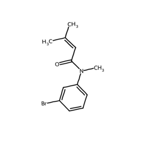 CC(C)=CC(=O)N(C)c1cccc(Br)c1